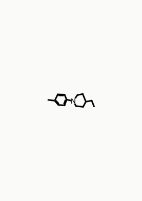 CCC1CCN(c2ccc(C)cc2)CC1